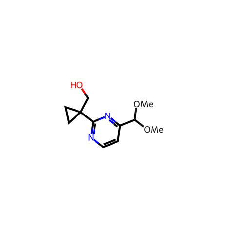 COC(OC)c1ccnc(C2(CO)CC2)n1